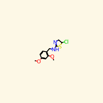 COc1ccc(CNC2=NCC(Cl)S2)c(OC)c1